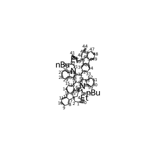 C#CCC1(CC#C)c2ccccc2-c2ccc(C3c4c(n(CC(CC)CCCC)c5ccccc45)C(c4ccc5c(c4)C(CC#C)(CC#C)c4ccccc4-5)c4c3n(CC(CC)CCCC)c3ccccc43)cc21